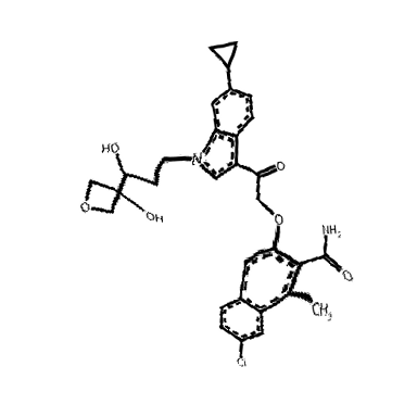 Cc1c(C(N)=O)c(OCC(=O)c2cn(CCC(O)C3(O)COC3)c3cc(C4CC4)ccc23)cc2ccc(Cl)cc12